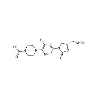 CCC(=O)N1CCN(c2ncc(N3C[C@H](CNC(C)=O)OC3=O)cc2F)CC1